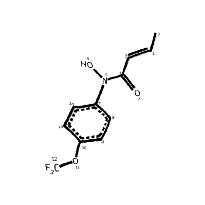 CC=CC(=O)N(O)c1ccc(OC(F)(F)F)cc1